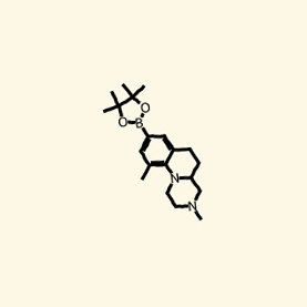 Cc1cc(B2OC(C)(C)C(C)(C)O2)cc2c1N1CCN(C)CC1CC2